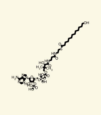 CC(C)(COP(=O)(O)OP(=O)(O)OC[C@H]1O[C@@H](n2cnc3c(N)ncnc32)[C@H](O)[C@@H]1OP(=O)(O)O)[C@@H](O)C(=O)NCCC(=O)NCCSC(=O)CCCCCCCCCCCCO